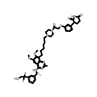 COc1cc2c(N[C@H](C)c3cccc(C(F)(F)CO)c3)nc(C)nc2c(CCCCCCN2CCN(C(=O)COc3cccc(C4CCC(=O)NC4=O)c3)CC2)c1OC